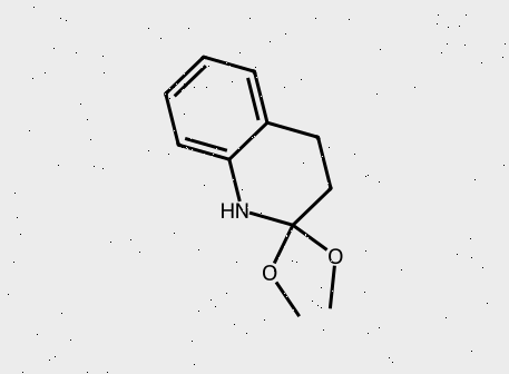 COC1(OC)CCc2ccccc2N1